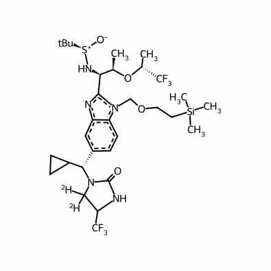 [2H]C1([2H])C(C(F)(F)F)NC(=O)N1[C@@H](c1ccc2c(c1)nc([C@@H](N[S@+]([O-])C(C)(C)C)[C@@H](C)O[C@H](C)C(F)(F)F)n2COCC[Si](C)(C)C)C1CC1